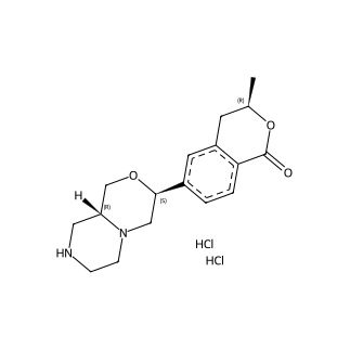 C[C@@H]1Cc2cc([C@H]3CN4CCNC[C@@H]4CO3)ccc2C(=O)O1.Cl.Cl